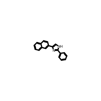 c1ccc(-c2nc(-c3ccc4ccccc4c3)c[nH]2)cc1